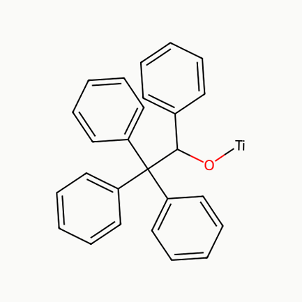 [Ti][O]C(c1ccccc1)C(c1ccccc1)(c1ccccc1)c1ccccc1